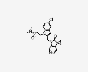 CN(C)[S+]([O-])CCn1c(CN2C(=O)C3(CC3)c3ccncc32)cc2cc(Cl)ccc21